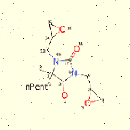 CCCCCC1(C)C(=O)N(CC2CO2)C(=O)N1CC1CO1